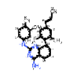 COc1cc(Nc2nc(N)c3cccc(-c4c(C)cc(C=CC#N)cc4C)c3n2)ccc1C#N